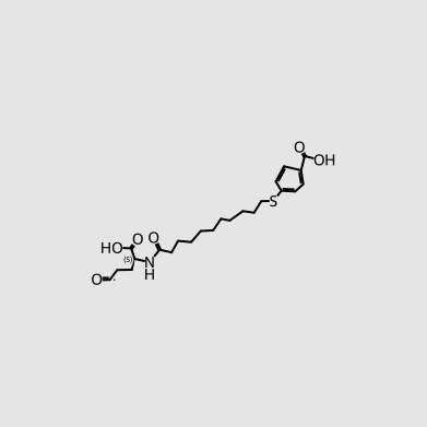 O=[C]CC[C@H](NC(=O)CCCCCCCCCCSc1ccc(C(=O)O)cc1)C(=O)O